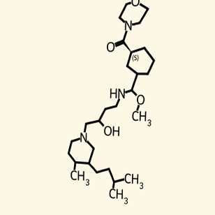 COC(NCCC(O)CN1CCC(C)C(CCC(C)C)C1)C1CCC[C@H](C(=O)N2CCOCC2)C1